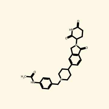 CC(=O)Nc1ccc(CN2CCC(c3ccc4c(c3)CN(C3CCC(=O)NC3=O)C4=O)CC2)cc1